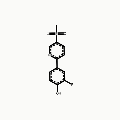 CS(=O)(=O)c1ccc(-c2ccc(O)c(F)c2)nc1